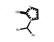 CC(=O)C(C(C)=O)n1ccsc1=N